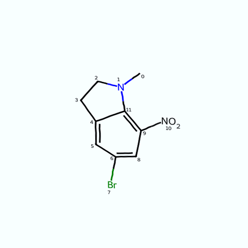 CN1CCc2cc(Br)cc([N+](=O)[O-])c21